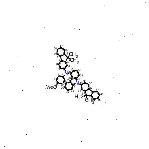 COc1ccc(N(c2ccc3c(c2)C(C)(C)c2ccccc2-3)c2cccc3c2c2ccccc2n3-c2ccc3c(c2)C(C)(C)c2ccccc2-3)cc1